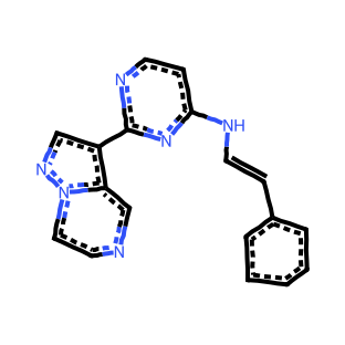 C(=Cc1ccccc1)Nc1ccnc(-c2cnn3ccncc23)n1